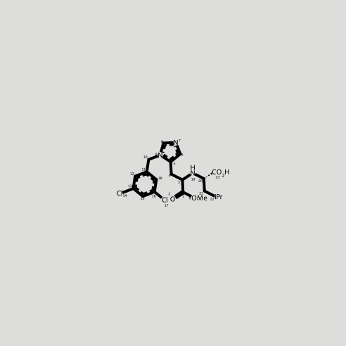 COC(=O)C(Cc1cncn1Cc1cc(Cl)cc(Cl)c1)N[C@@H](CC(C)C)C(=O)O